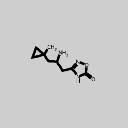 CC1(CC(N)Cc2noc(=O)[nH]2)CC1